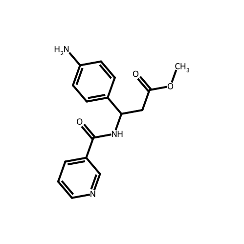 COC(=O)CC(NC(=O)c1cccnc1)c1ccc(N)cc1